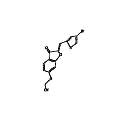 N#CCOc1ccc2c(c1)OC(=Cc1cc(Br)cs1)C2=O